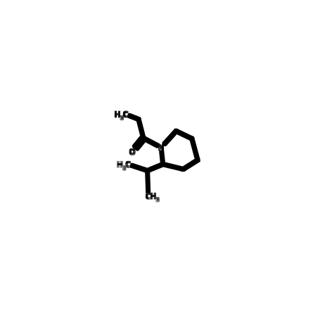 CCC(=O)N1CCCCC1C(C)C